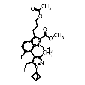 COC(=O)c1c(CCCOC(C)=O)c2ccc(F)c(-c3c(C)nn(C45CC(C4)C5)c3CI)c2n1C